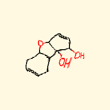 OC1C=CC2OC3CC=CCC3C12O